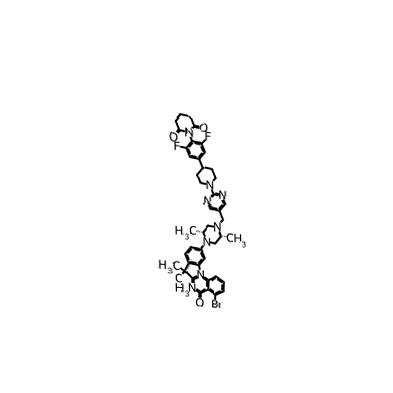 C[C@@H]1CN(c2ccc3c(c2)-n2c(nc(=O)c4c(Br)cccc42)C3(C)C)[C@H](C)CN1Cc1cnc(N2CCC(c3cc(F)c(N4C(=O)CCCC4=O)c(F)c3)CC2)nc1